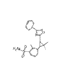 Cc1c(C2C(c3nc(-c4ccccc4)no3)C2(C)C)cccc1S(N)(=O)=O